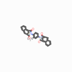 O=C1C2=c3ccccc3=CC(C(=O)N1c1ccc(N3C(=O)C4=c5ccccc5=CC(C3=O)C4=S)c([N+](=O)[O-])c1)C2=S